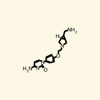 NCC1C2CN(CCOc3ccc(-n4ccc(N)nc4=O)cc3)C[C@@H]12